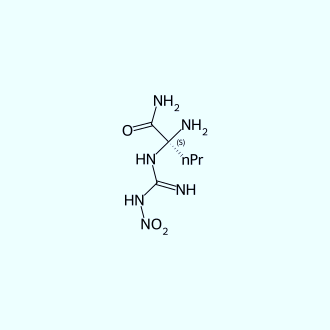 CCC[C@](N)(NC(=N)N[N+](=O)[O-])C(N)=O